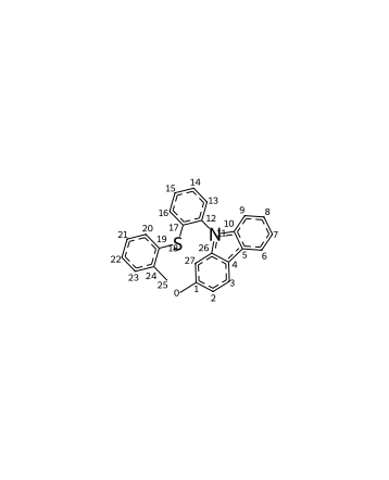 Cc1ccc2c3ccccc3n(-c3ccccc3Sc3ccccc3C)c2c1